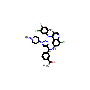 COC(=O)c1cccc([C@H](Nc2cc(Cl)c3ncc(C#N)c(Nc4ccc(F)c(Cl)c4)c3c2)C2=CN(C3CCN(C(C)(C)C)CC3)NN2)c1